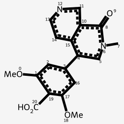 COc1cc(-c2cn(C)c(=O)c3cnccc23)cc(OC)c1C(=O)O